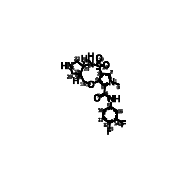 Cn1cc2c(c1C(=O)Nc1ccc(F)c(F)c1)OC[C@@H]1CNC[C@@H]1NS2(=O)=O